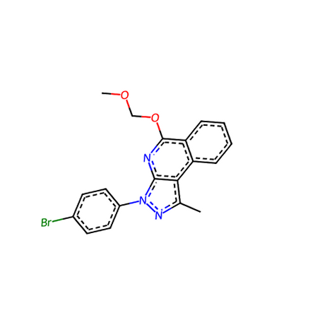 COCOc1nc2c(c(C)nn2-c2ccc(Br)cc2)c2ccccc12